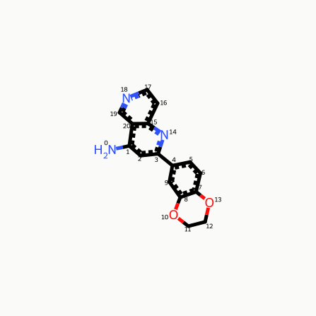 Nc1cc(-c2ccc3c(c2)OCCO3)nc2ccncc12